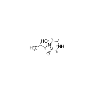 CCC[N+]1(O)CCNCC1=O